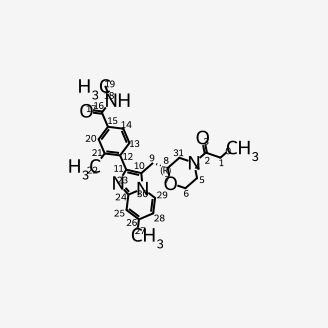 CCC(=O)N1CCO[C@H](Cc2c(-c3ccc(C(=O)NC)cc3C)nc3cc(C)ccn23)C1